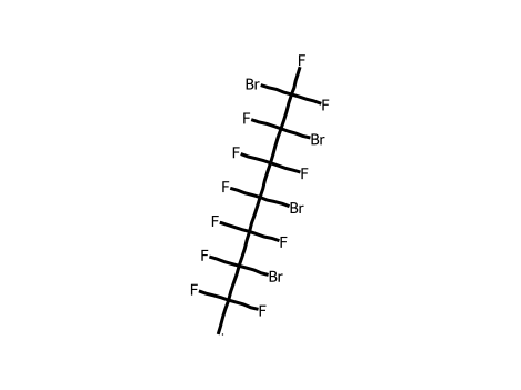 [CH2]C(F)(F)C(F)(Br)C(F)(F)C(F)(Br)C(F)(F)C(F)(Br)C(F)(F)Br